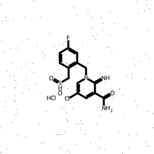 Cl.N=c1c(C(N)=O)cc(Cl)cn1Cc1cc(F)ccc1C[SH](=O)=O